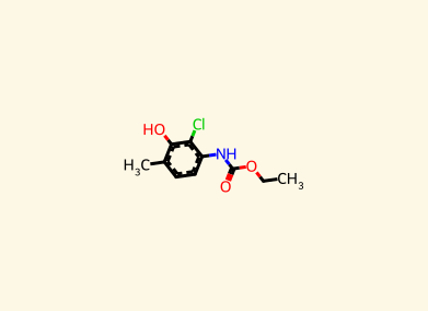 CCOC(=O)Nc1ccc(C)c(O)c1Cl